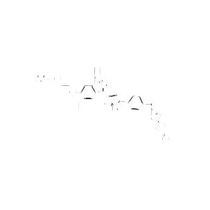 COCCOc1cc2[nH]nc(-c3cc(-c4ccc(C(=O)N5CC6(C5)C[S+]([O-])C6)cc4)no3)c2cc1F